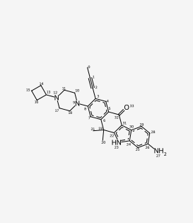 CC#Cc1cc2c(cc1N1CCN(C3CCC3)CC1)C(C)(C)c1[nH]c3cc(N)ccc3c1C2=O